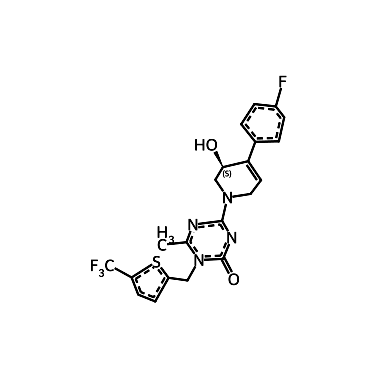 Cc1nc(N2CC=C(c3ccc(F)cc3)[C@H](O)C2)nc(=O)n1Cc1ccc(C(F)(F)F)s1